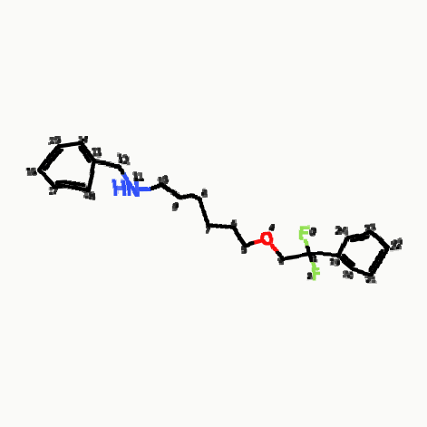 FC(F)(COCCCCCCNCc1ccccc1)c1ccccc1